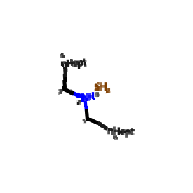 CCCCCCCCNCCCCCCCC.S